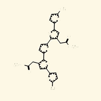 COC(=O)Cc1cc(-c2ccc(N)s2)sc1-c1ccc(-c2sc(-c3ccc(C#N)s3)cc2CC(=O)OC)s1